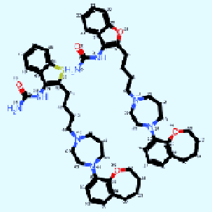 NC(=O)Nc1c(CCCCN2CCCN(c3cccc4c3OCCCC4)CC2)oc2ccccc12.NC(=O)Nc1c(CCCCN2CCCN(c3cccc4c3OCCCC4)CC2)sc2ccccc12